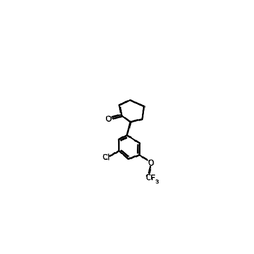 O=C1CCCCC1c1cc(Cl)cc(OC(F)(F)F)c1